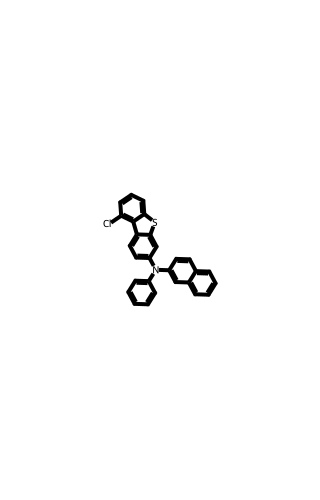 Clc1cccc2sc3cc(N(c4ccccc4)c4ccc5ccccc5c4)ccc3c12